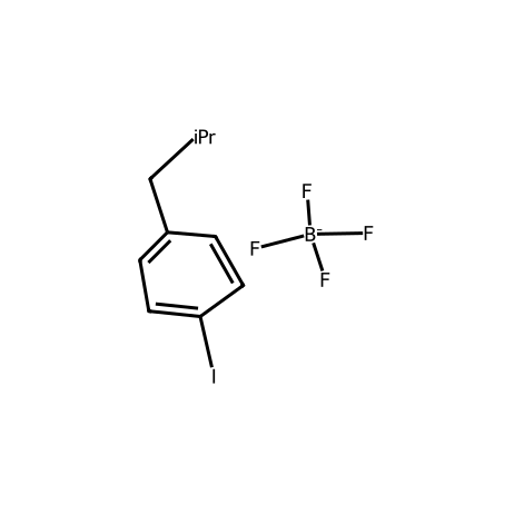 CC(C)Cc1ccc(I)cc1.F[B-](F)(F)F